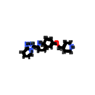 c1ccn2c(-c3ccc4cc(OCc5ccncc5)ccc4n3)nnc2c1